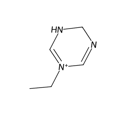 CC[N+]1=CNCN=C1